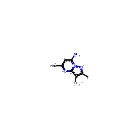 CCCCc1cc(N)n2nc(C)c(C(=O)OCC)c2n1